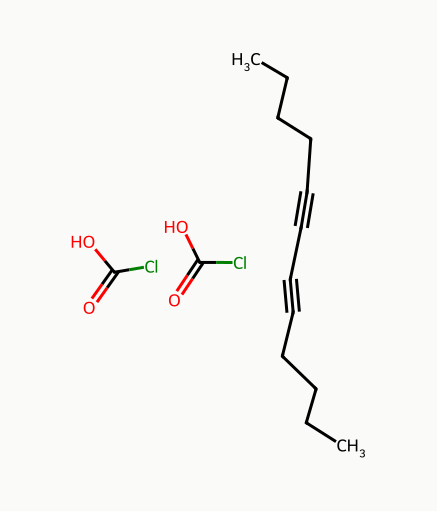 CCCCC#CC#CCCCC.O=C(O)Cl.O=C(O)Cl